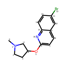 CN1CCC(Oc2ccc3cc(Br)ccc3n2)C1